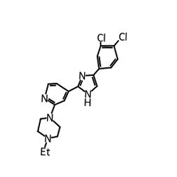 CCN1CCN(c2cc(-c3nc(-c4ccc(Cl)c(Cl)c4)c[nH]3)ccn2)CC1